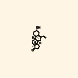 C=CC1=C2C[C@@H](O)CC[C@]2(C)[C@H]2CC[C@]3(C)C(=O)CC[C@H]3[C@@H]2C1